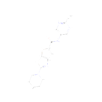 COc1ncc(NC(=O)c2cc3nc(N4CCCCC4)sc3s2)cn1